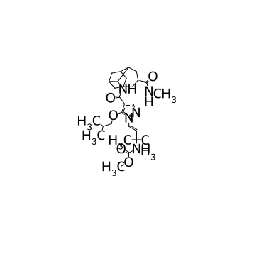 CNC(=O)[C@H]1CC2CC3CC(C2)C(NC(=O)c2cnn(/C=C/C(C)(C)NC(=O)OC)c2OCC(C)C)C3C1